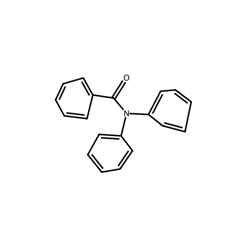 O=C(c1ccccc1)N(c1[c]cccc1)c1ccccc1